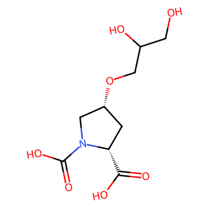 O=C(O)[C@H]1C[C@@H](OCC(O)CO)CN1C(=O)O